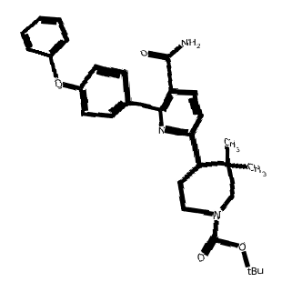 CC(C)(C)OC(=O)N1CCC(c2ccc(C(N)=O)c(-c3ccc(Oc4ccccc4)cc3)n2)C(C)(C)C1